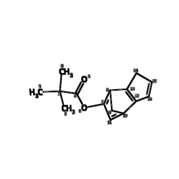 CC(C)(C)C(=O)OC1=C2CC(=C1)C1=C2CC=C1